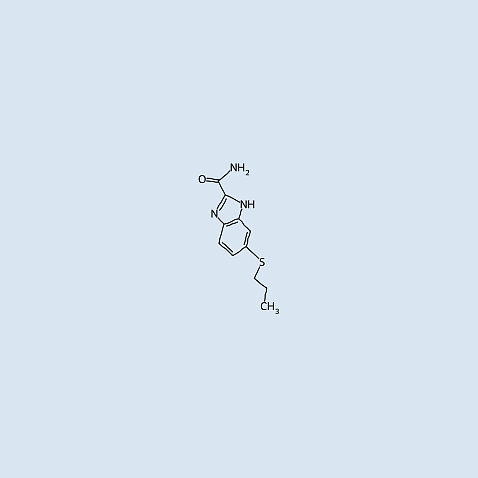 CCCSc1ccc2nc(C(N)=O)[nH]c2c1